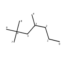 CCC[C](C)CC(C)(C)C